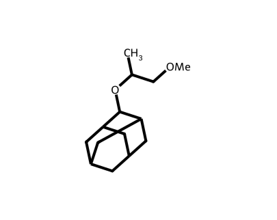 COCC(C)OC1C2CC3CC(C2)CC1C3